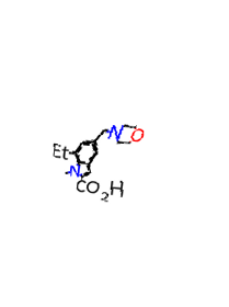 CCc1cc(CN2CCOCC2)cc2cc(C(=O)O)n(C)c12